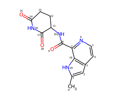 Cc1cc2ccnc(C(=O)NC3CCC(=O)NC3=O)c2[nH]1